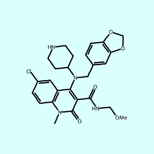 COCNC(=O)c1c(N(Cc2ccc3c(c2)OCO3)C2CCNCC2)c2cc(Cl)ccc2n(C)c1=O